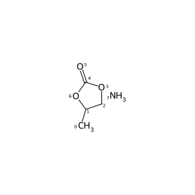 CC1COC(=O)O1.N